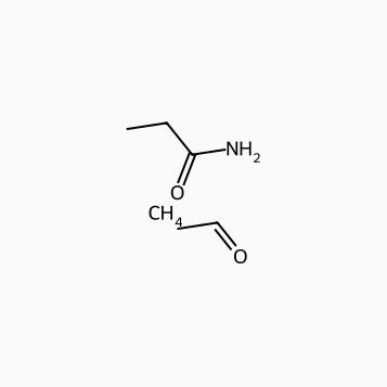 C.CC=O.CCC(N)=O